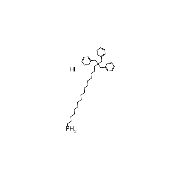 I.PCCCCCCCCCCCCCCCCCC(Cc1ccccc1)(Cc1ccccc1)Cc1ccccc1